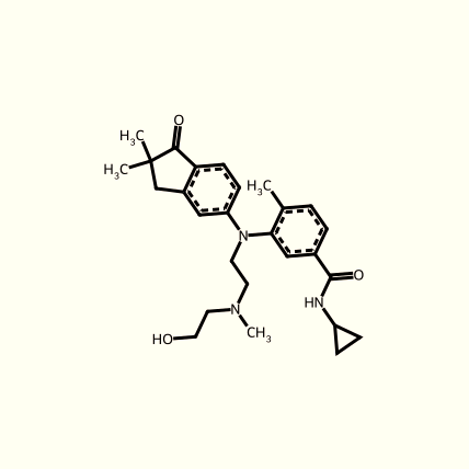 Cc1ccc(C(=O)NC2CC2)cc1N(CCN(C)CCO)c1ccc2c(c1)CC(C)(C)C2=O